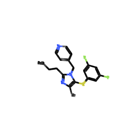 CC(=O)OCCc1nc(C(C)C)c(Sc2cc(F)cc(F)c2)n1Cc1ccncc1